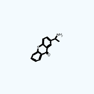 CC(N)c1ccc2sc3ccccc3c(=O)c2c1